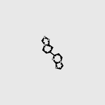 [c]1c(-c2ccn3ccnc3n2)ccn2cnnc12